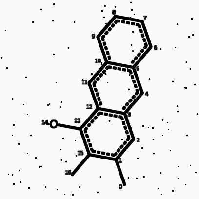 Cc1cc2cc3ccccc3cc2c([O])c1C